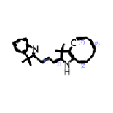 CC1(C)C2=C(/C=C\C/C=C\C=C/C2)N/C1=C/C=C/C1=Nc2ccccc2C1(C)C